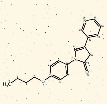 CCCCOc1ccc(N2N=C(c3cccnc3)CC2=O)cc1